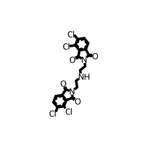 O=C1c2ccc(Cl)c(Cl)c2C(=O)N1CCNCCN1C(=O)c2ccc(Cl)c(Cl)c2C1=O